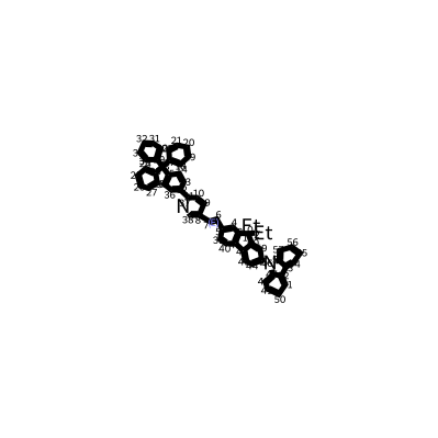 CCC1(CC)c2cc(/C=C/c3ccc(-c4ccc(C(c5ccccc5)(c5ccccc5)c5ccccc5)cc4)nc3)ccc2-c2ccc(-n3c4ccccc4c4ccccc43)cc21